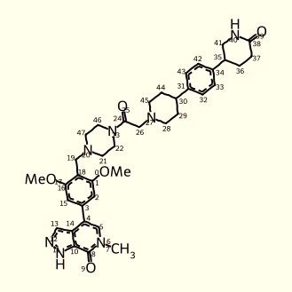 COc1cc(-c2cn(C)c(=O)c3[nH]ncc23)cc(OC)c1CN1CCN(C(=O)CN2CCC(c3ccc(C4CCC(=O)NC4)cc3)CC2)CC1